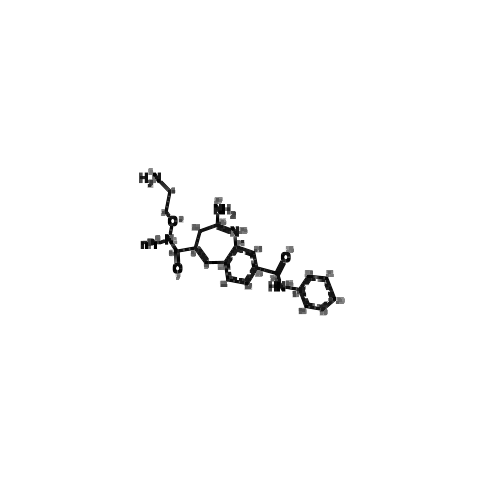 CCCN(OCCN)C(=O)C1=Cc2ccc(C(=O)Nc3ccccc3)cc2N=C(N)C1